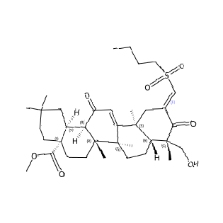 CCCCS(=O)(=O)/C=C1\C[C@]2(C)C3=CC(=O)[C@@H]4[C@@H]5CC(C)(C)CC[C@]5(C(=O)OC)CC[C@@]4(C)[C@]3(C)CC[C@H]2[C@@](C)(CO)C1=O